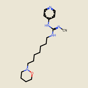 N#C/N=C(\NCCCCCCCN1CCCCO1)Nc1ccncc1